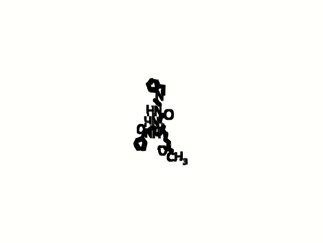 CCC(=O)CCCCC[C@H](NC(=O)CNC(=O)c1ccccc1)C(=O)NCCN1CCc2ccccc21